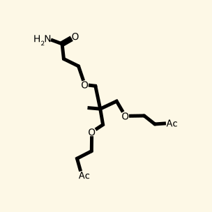 CC(=O)CCOCC(C)(COCCC(C)=O)COCCC(N)=O